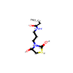 O=C(O)CC(=O)NCCCN1C(=O)CSC1=O